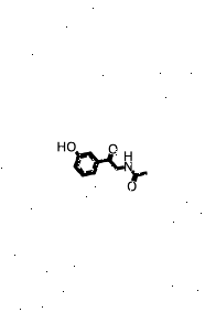 CC(=O)NCC(=O)c1cccc(O)c1